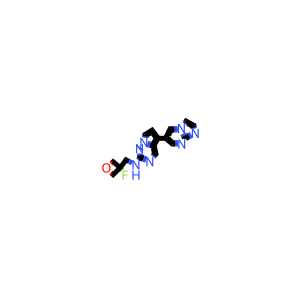 FC1(CNc2ncc3c(-c4cnc5nccn5c4)ccn3n2)COC1